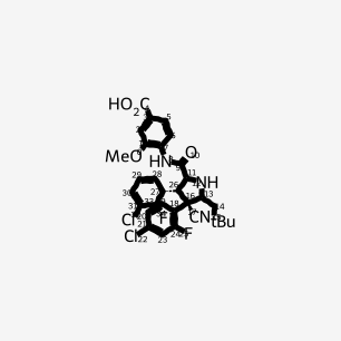 COc1cc(C(=O)O)ccc1NC(=O)C1NC(CC(C)(C)C)[C@](C#N)(c2ccc(Cl)cc2F)C1[C@H]1C=CC=C(Cl)C1F